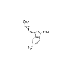 N#CC1=C/C(=C\OCO)c2cc(C(F)(F)F)ccc21